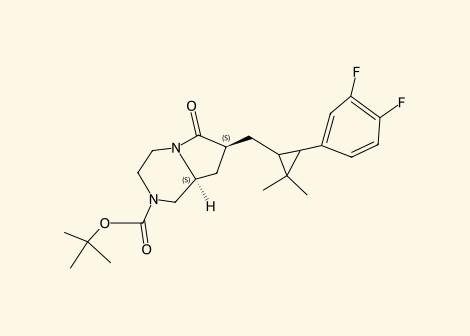 CC(C)(C)OC(=O)N1CCN2C(=O)[C@@H](CC3C(c4ccc(F)c(F)c4)C3(C)C)C[C@H]2C1